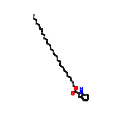 CCCCCCCCCCCCCCCCCCCCCCCCCCCCOC(=O)c1cc2ccccc2[nH]1